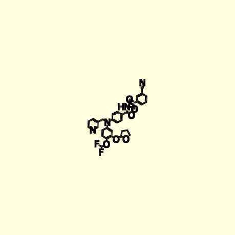 N#Cc1cccc(S(=O)(=O)NC(=O)c2ccc(N(Cc3cccnc3)c3ccc(OC(F)F)c(OC4CCCO4)c3)cc2)c1